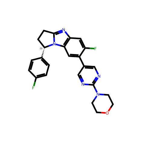 Fc1ccc([C@@H]2CCc3nc4cc(F)c(-c5cnc(N6CCOCC6)nc5)cc4n32)cc1